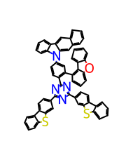 c1ccc2cc3c(cc2c1)c1ccccc1n3-c1ccc(-c2nc(-c3ccc4c(c3)sc3ccccc34)nc(-c3ccc4c(c3)sc3ccccc34)n2)c(-c2cccc3oc4ccccc4c23)c1